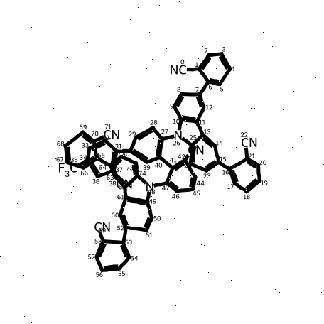 N#Cc1ccccc1-c1ccc2c(c1)c1cc(-c3ccccc3C#N)ccc1n2-c1ccc(-c2ccc(C(F)(F)F)cc2C#N)cc1-c1c(C#N)cccc1-n1c2ccc(-c3ccccc3C#N)cc2c2cc(-c3ccccc3C#N)ccc21